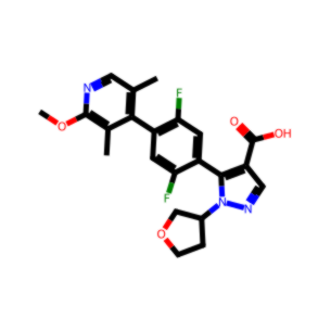 COc1ncc(C)c(-c2cc(F)c(-c3c(C(=O)O)cnn3C3CCOC3)cc2F)c1C